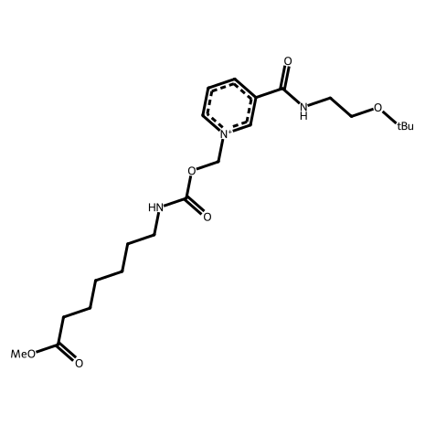 COC(=O)CCCCCCNC(=O)OC[n+]1cccc(C(=O)NCCOC(C)(C)C)c1